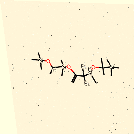 C=C(O[Si](C)(C)[C@@H](C)O[Si](C)(C)C)C(CC)(CC)[SiH](C)OC(C)(C)[Si](C)(C)C